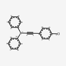 Clc1ccc(C#CB(c2ccccc2)c2ccccc2)cc1